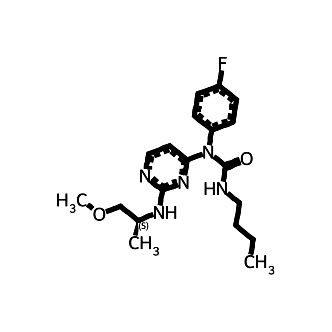 CCCCNC(=O)N(c1ccc(F)cc1)c1ccnc(N[C@@H](C)COC)n1